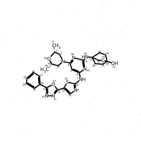 C[C@@H]1CN(c2cc(Nc3ncc(-c4nnc(-c5ccccc5)o4)s3)nc(NC34CCC(O)(CC3)CC4)n2)C[C@H](C)O1